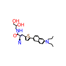 CCCN(CCC)c1ccc2cc(-c3ccc(/C=C(\C#N)C(=O)NCC(O)CO)s3)ccc2c1